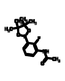 CC(=O)Nc1cccc(B2OC(C)(C)C(C)(C)O2)c1F